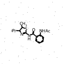 CC(=O)Nc1ccccc1C(=O)NC1=NC(C(C)C)C(C)S1